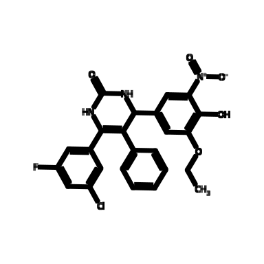 CCOc1cc(C2NC(=O)NC(c3cc(F)cc(Cl)c3)=C2c2ccccc2)cc([N+](=O)[O-])c1O